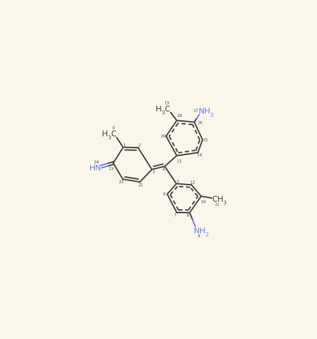 CC1=CC(=C(c2ccc(N)c(C)c2)c2ccc(N)c(C)c2)C=CC1=N